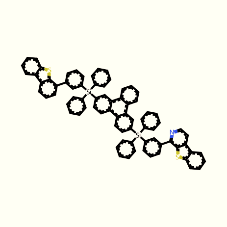 c1ccc([Si](c2ccccc2)(c2cccc(-c3cccc4c3sc3ccccc34)c2)c2ccc3c4ccc([Si](c5ccccc5)(c5ccccc5)c5cccc(-c6nccc7c6sc6ccccc67)c5)cc4c4ccccc4c3c2)cc1